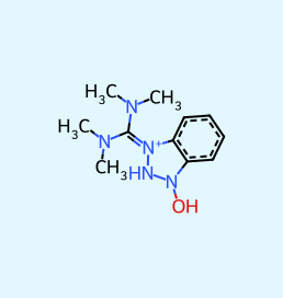 CN(C)C(N(C)C)=[N+]1NN(O)c2ccccc21